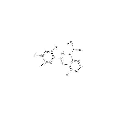 CCc1cc(Br)c(OCc2c(C)cccc2N(O)C(=O)OC)cc1C